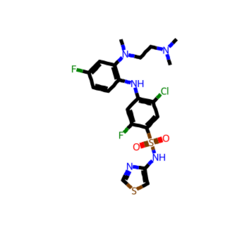 CN(C)CCN(C)c1cc(F)ccc1Nc1cc(F)c(S(=O)(=O)Nc2cscn2)cc1Cl